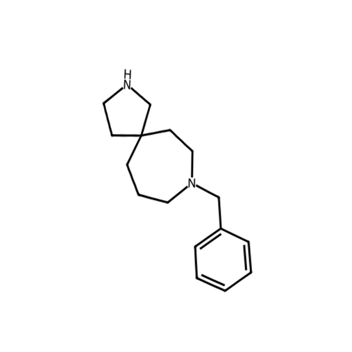 c1ccc(CN2CCCC3(CCNC3)CC2)cc1